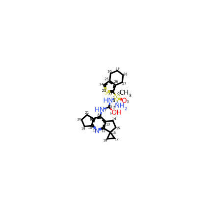 CS(N)(=O)(NC(O)Nc1c2c(nc3c1CCC31CC1)CCC2)c1scc2c1CCCC2